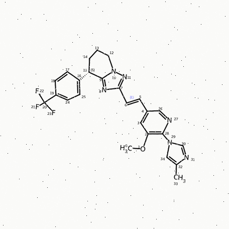 COc1cc(/C=C/c2nc3n(n2)CCC[C@H]3c2ccc(C(F)(F)F)cc2)cnc1-n1cnc(C)c1